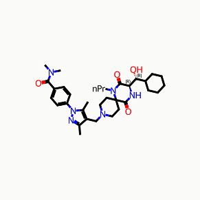 CCCN1C(=O)[C@@H]([C@H](O)C2CCCCC2)NC(=O)C12CCN(Cc1c(C)nn(-c3ccc(C(=O)N(C)C)cc3)c1C)CC2